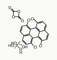 Clc1ccc2ccc(Cl)c3c4c(Cl)ccc5ccc(Cl)c(c1c23)c54.O=C(O)O.O=C(O)O.O=C1OC(=O)O1